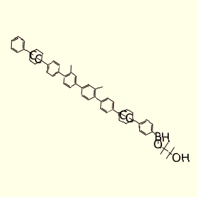 Cc1cc(-c2ccc(-c3ccc(C45CCC(c6ccc(BOC(C)(C)C(C)(C)O)cc6)(CC4)CC5)cc3)c(C)c2)ccc1-c1ccc(C23CCC(c4ccccc4)(CC2)CC3)cc1